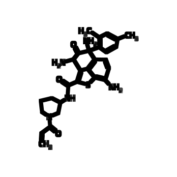 C=CC(=O)N1CCCC(NC(=O)c2sc3c(N)ccc4c3c2C(N)C(=O)C4(N)c2ccc(C)cc2C)C1